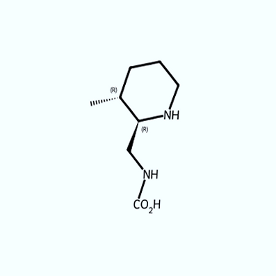 C[C@@H]1CCCN[C@H]1CNC(=O)O